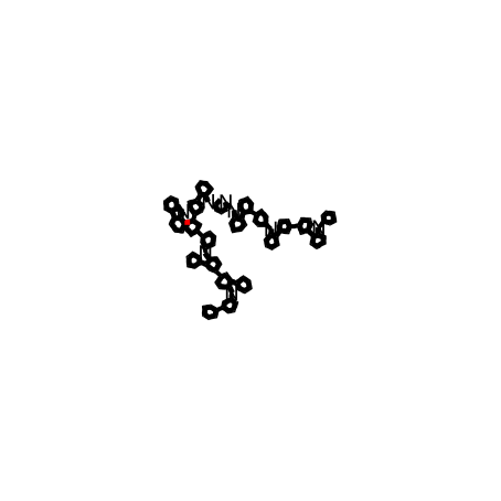 c1ccc(-c2cccc(-n3c4ccccc4c4cc(-c5ccc6c(c5)c5ccccc5n6-c5cccc(-c6cccc(-c7cc8c(cc7-n7c9ccccc9c9ccccc97)c7ccccc7n8-c7ccc(-n8c9ccccc9c9c(-c%10ccc(-n%11c%12ccccc%12c%12cc(-c%13ccc%14c(c%13)c%13ccccc%13n%14-c%13ccccc%13)ccc%12%11)cc%10)cccc98)nc7)c6)c5)ccc43)c2)cc1